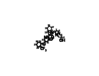 CC(C)(O)Cn1ccc(NC(=O)[C@@H](CC2CCCC2)n2ncc(Oc3ccccc3C(F)(F)F)cc2=O)n1